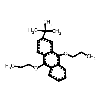 CCCOc1c2ccccc2c(OCCC)c2cc(C(C)(C)C)ccc12